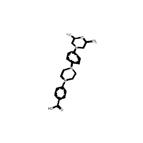 CC1CN(c2ccc(N3CCN(c4ccc(C(=O)O)cc4)CC3)cc2)CC(C)O1